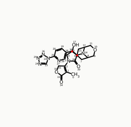 CC1=C(N2CCC3(CC4COCC(C3)N4CC(O)c3ccc(-n4cnnn4)nc3)C2=O)COC1=O